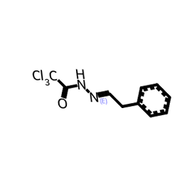 O=C(N/N=C/Cc1ccccc1)C(Cl)(Cl)Cl